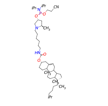 CC(C)CCC[C@@H](C)[C@H]1CCC2C3CC=C4C[C@@H](OC(=O)NCCCCCCN5C[C@H](OP(OCCC#N)N(C(C)C)C(C)C)C[C@H]5C)CC[C@]4(C)C3CC[C@@]21C